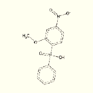 COc1cc([N+](=O)[O-])ccc1P(=O)(O)c1ccccc1